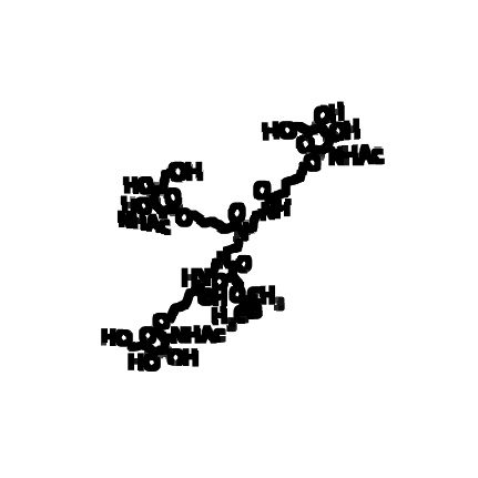 CC(=O)NC1[C@H](OCCCCC(=O)NCCN(CCN(CCNC(=O)CCCCO[C@@H]2OC(CO)[C@H](O)[C@H](O)C2NC(C)=O)C(=O)C(O)COP(C)(C)=O)C(=O)CCCCO[C@@H]2OC(CO)[C@H](O)[C@H](O)C2NC(C)=O)OC(CO)[C@H](O)[C@@H]1O